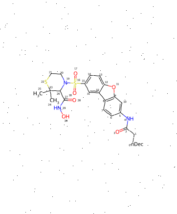 CCCCCCCCCCCC(=O)Nc1ccc2c(c1)oc1ccc(S(=O)(=O)N3CCSC(C)(C)C3C(=O)NO)cc12